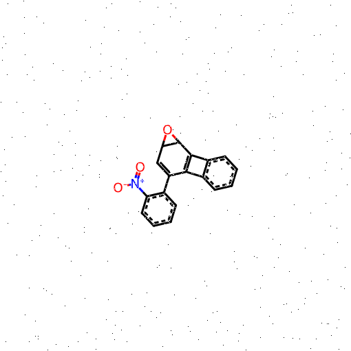 O=[N+]([O-])c1ccccc1C1=CC2OC2C2=C1c1ccccc12